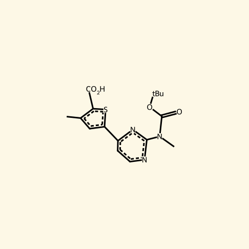 Cc1cc(-c2ccnc(N(C)C(=O)OC(C)(C)C)n2)sc1C(=O)O